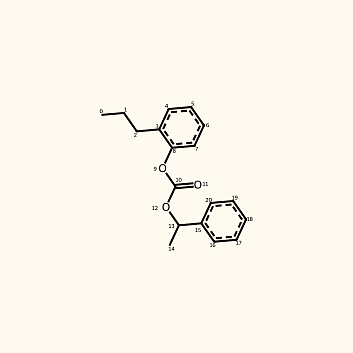 CCCc1ccccc1OC(=O)OC(C)c1ccccc1